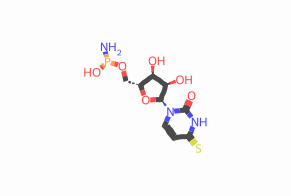 NP(O)OC[C@H]1O[C@@H](n2ccc(=S)[nH]c2=O)[C@H](O)[C@@H]1O